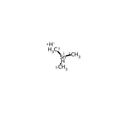 [CH3][SnH]([CH3])[CH3].[H-]